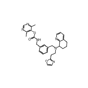 Cc1ncnc(C)c1OC(=O)NCc1cccc(CN(CCc2ncco2)C2CCCc3cccnc32)c1